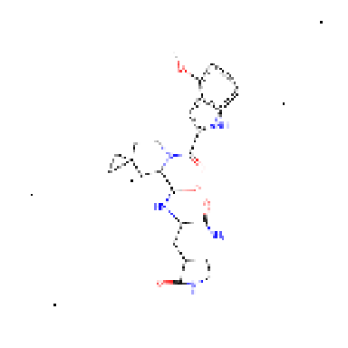 COc1cccc2[nH]c(C(=O)N3CCC4(CC4)CC3C(=O)NC(CC3CCNC3=O)C(N)=O)cc12